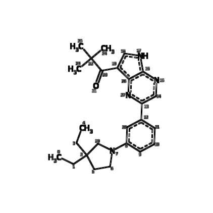 CCC1(CC)CCN(c2cccc(-c3cnc4[nH]cc(C(=O)C(C)(C)C)c4n3)c2)C1